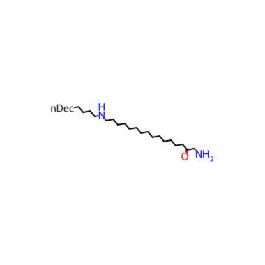 CCCCCCCCCCCCCCNCCCCCCCCCCCCCCC(=O)CN